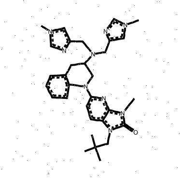 Cn1cnc(CN(Cc2cn(C)cn2)C2Cc3ccccc3N(c3ccc4c(n3)n(C)c(=O)n4CC(C)(C)C)C2)c1